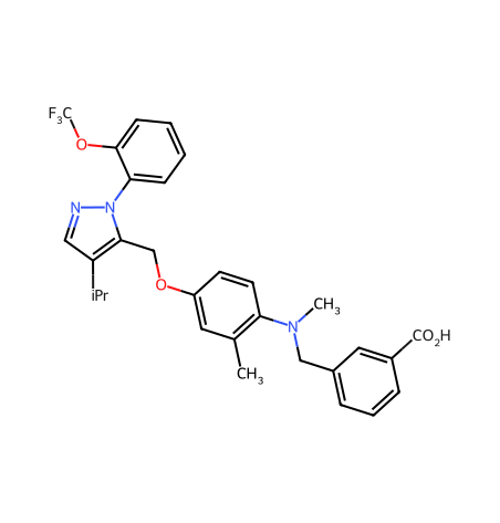 Cc1cc(OCc2c(C(C)C)cnn2-c2ccccc2OC(F)(F)F)ccc1N(C)Cc1cccc(C(=O)O)c1